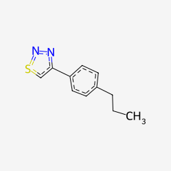 CCCc1ccc(-c2csnn2)cc1